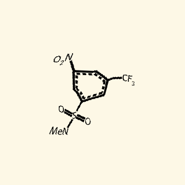 CNS(=O)(=O)c1cc([N+](=O)[O-])cc(C(F)(F)F)c1